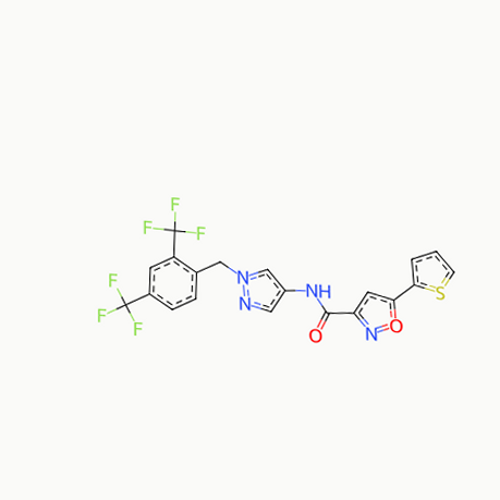 O=C(Nc1cnn(Cc2ccc(C(F)(F)F)cc2C(F)(F)F)c1)c1cc(-c2cccs2)on1